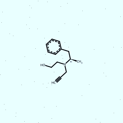 C#CCN(CCO)[C@H](C)Cc1ccccc1